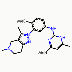 CNC1=NC(Nc2ccc(OC)c(-n3nc4c(c3C)CN(C)CC4)c2)NC(C)=C1